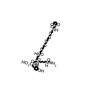 NC(=O)NCCCCC(=O)N[C@@H](CCCCNC(=O)CCOCCOCCOCCOCCOCCNC(=O)CN1C(=O)C=CC1=O)C(=O)N[C@@H](Cc1ccc(O)cc1)C(=O)O